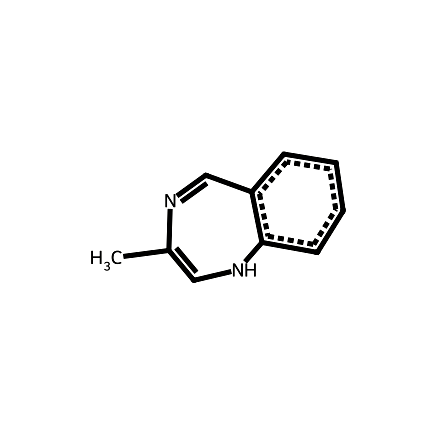 CC1=CNc2ccccc2C=N1